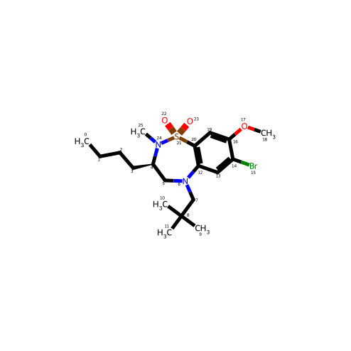 CCCC[C@@H]1CN(CC(C)(C)C)c2cc(Br)c(OC)cc2S(=O)(=O)N1C